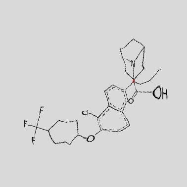 CCC(c1ccc2c(Cl)c(OC3CCC(C(F)(F)F)CC3)ccc2c1)N1C2CCC1CC(C(=O)O)C2